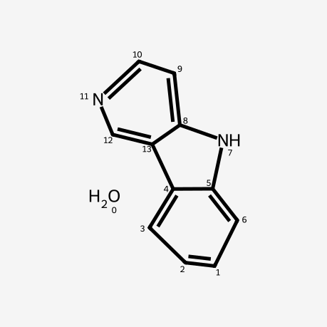 O.c1ccc2c(c1)[nH]c1ccncc12